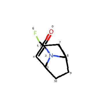 O=CN1C2C=C(F)CC1CC2